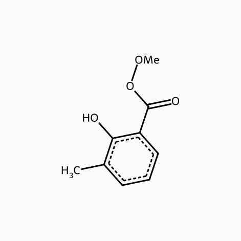 COOC(=O)c1cccc(C)c1O